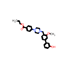 C=CCOC(=O)c1ccc(N2CCN(Cc3ccc(-c4cccc(O)c4)cc3OC)CC2)cc1